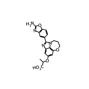 CC(Oc1cc2c3c(c1)nc(-c1ccc4oc(N)nc4c1)n3CCCO2)C(=O)O